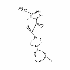 Cc1[nH]c(C(=O)O)c(C)c1C(=O)C(=O)N1CCN(c2cccc(Cl)c2)CC1